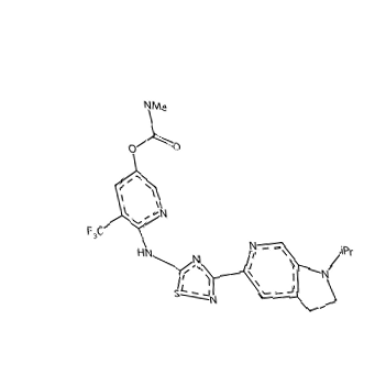 CNC(=O)Oc1cnc(Nc2nc(-c3cc4c(cn3)N(C(C)C)CC4)ns2)c(C(F)(F)F)c1